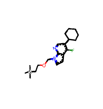 C[Si](C)(C)CCOCn1ccc2c(F)c(C3CCCCC3)cnc21